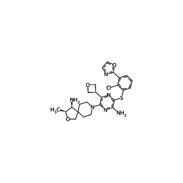 C[C@@H]1OCC2(CCN(c3nc(N)c(Sc4cccc(-c5ncco5)c4Cl)nc3C3COC3)CC2)[C@@H]1N